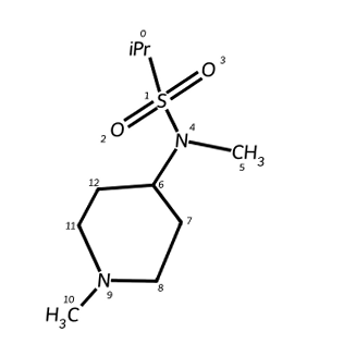 CC(C)S(=O)(=O)N(C)C1CCN(C)CC1